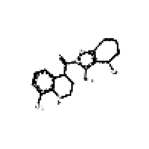 Cc1cccc2c1NCCC2C(=O)n1nc2c(c1N)[C@H](O)CCC2